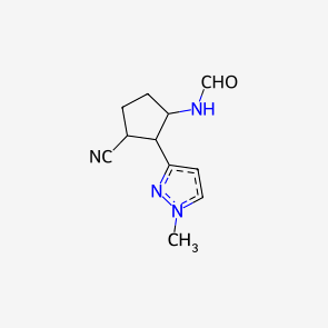 Cn1ccc(C2C(C#N)CCC2NC=O)n1